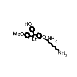 CCC(=C(c1ccc(O)cc1)c1ccc(OCC(N)CCCCCCN)cc1)c1ccc(OC)cc1